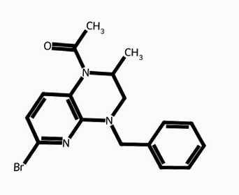 CC(=O)N1c2ccc(Br)nc2N(Cc2ccccc2)CC1C